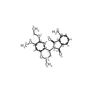 CCOc1nc(C(C[S+](C)[O-])N2C(=O)c3cccc(N)c3C2=O)ccc1OC